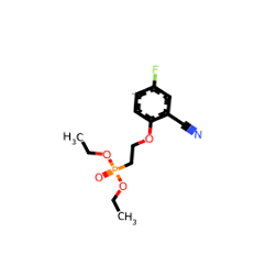 CCOP(=O)(CCOc1c[c]c(F)cc1C#N)OCC